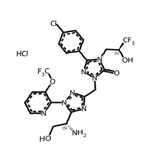 Cl.N[C@H](CO)c1nc(Cn2nc(-c3ccc(Cl)cc3)n(C[C@H](O)C(F)(F)F)c2=O)nn1-c1ncccc1OC(F)(F)F